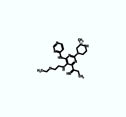 CCOCCNc1c(Nc2ccncn2)nc(N2CCN[C@@H](C)C2)nc1C(=N)CC